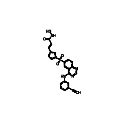 C#Cc1cccc(Nc2ncnc3ccc(S(=O)(=O)n4ccc(C=CC(=O)NO)c4)cc23)c1